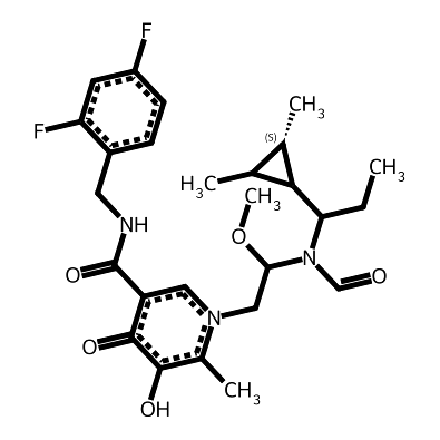 CCC(C1C(C)[C@@H]1C)N(C=O)C(Cn1cc(C(=O)NCc2ccc(F)cc2F)c(=O)c(O)c1C)OC